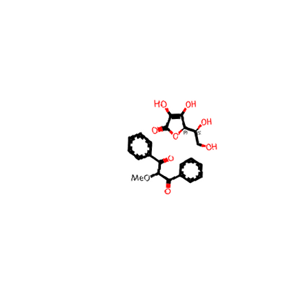 COC(C(=O)c1ccccc1)C(=O)c1ccccc1.O=C1O[C@H]([C@@H](O)CO)C(O)=C1O